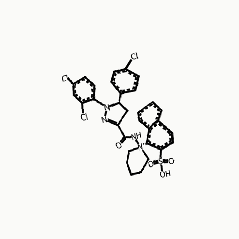 O=C(N[N+]1(c2c(S(=O)(=O)O)ccc3ccccc23)CCCCC1)C1=NN(c2ccc(Cl)cc2Cl)[C@@H](c2ccc(Cl)cc2)C1